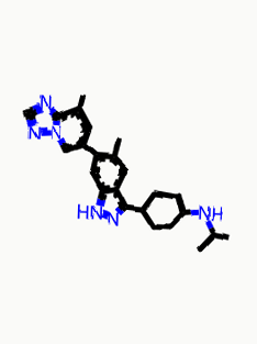 Cc1cc2c(C3CCC(NC(C)C)CC3)n[nH]c2cc1-c1cc(C)c2ncnn2c1